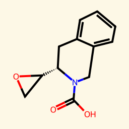 O=C(O)N1Cc2ccccc2C[C@H]1C1CO1